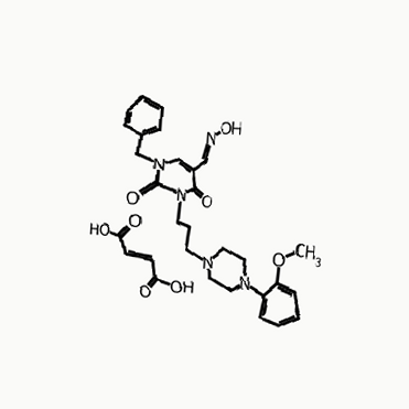 COc1ccccc1N1CCN(CCCn2c(=O)c(C=NO)cn(Cc3ccccc3)c2=O)CC1.O=C(O)C=CC(=O)O